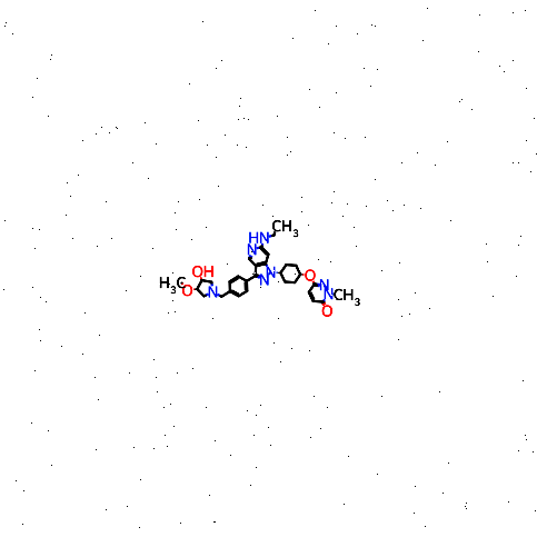 CCNc1cc2c(cn1)c(-c1ccc(CN3C[C@H](OC)[C@@H](O)C3)cc1)nn2[C@H]1CC[C@@H](Oc2ccc(=O)n(C)n2)CC1